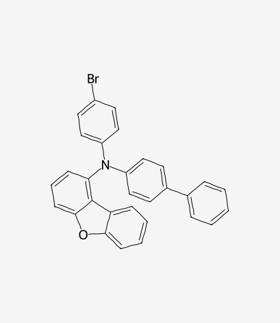 Brc1ccc(N(c2ccc(-c3ccccc3)cc2)c2cccc3oc4ccccc4c23)cc1